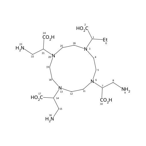 CCC(C(=O)O)N1CCN(C(CN)C(=O)O)CCN(C(CN)C(=O)O)CCN(C(CN)C(=O)O)CC1